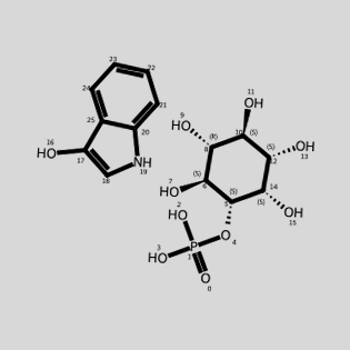 O=P(O)(O)O[C@@H]1[C@@H](O)[C@H](O)[C@@H](O)[C@H](O)[C@@H]1O.Oc1c[nH]c2ccccc12